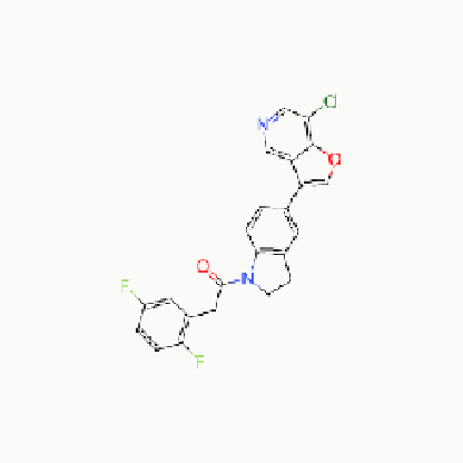 O=C(Cc1cc(F)ccc1F)N1CCc2cc(-c3coc4c(Cl)cncc34)ccc21